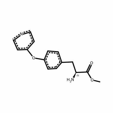 COC(=O)[C@@H](N)Cc1ccc(Oc2ccncc2)cc1